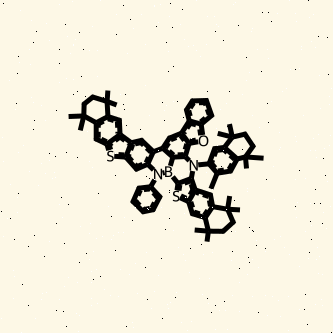 Cc1cc2c(cc1N1c3c(sc4cc5c(cc34)C(C)(C)CCC5(C)C)B3c4c(cc5c(oc6ccccc65)c41)-c1cc4c(cc1N3c1ccccc1)sc1cc3c(cc14)C(C)(C)CCC3(C)C)C(C)(C)CCC2(C)C